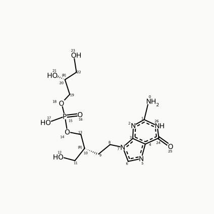 Nc1nc2c(ncn2CC[C@H](CO)COP(=O)(O)OC[C@H](O)CO)c(=O)[nH]1